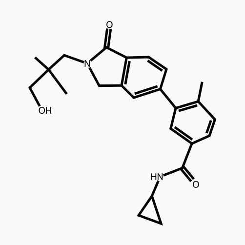 Cc1ccc(C(=O)NC2CC2)cc1-c1ccc2c(c1)CN(CC(C)(C)CO)C2=O